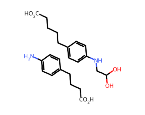 Nc1ccc(CCCC(=O)O)cc1.O=C(O)CCCCc1ccc(NCC(O)O)cc1